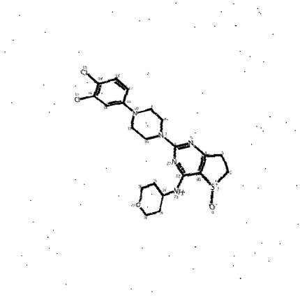 [O-][S+]1CCc2nc(N3CCN(c4ccc(Cl)c(Cl)c4)CC3)nc(NC3CCOCC3)c21